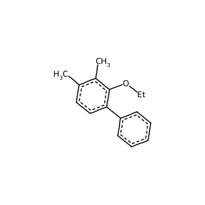 CCOc1c(-c2ccccc2)ccc(C)c1C